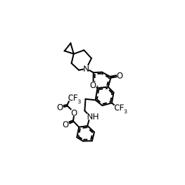 O=C(OC(=O)C(F)(F)F)c1ccccc1NCCc1cc(C(F)(F)F)cc2c(=O)cc(N3CCC4(CC3)CC4)oc12